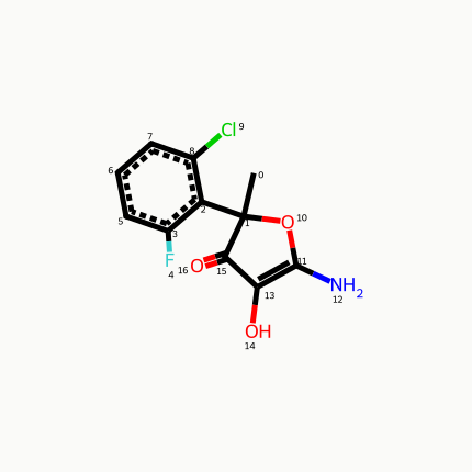 CC1(c2c(F)cccc2Cl)OC(N)=C(O)C1=O